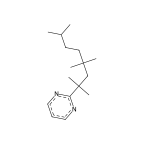 CC(C)CCC(C)(C)CC(C)(C)c1ncccn1